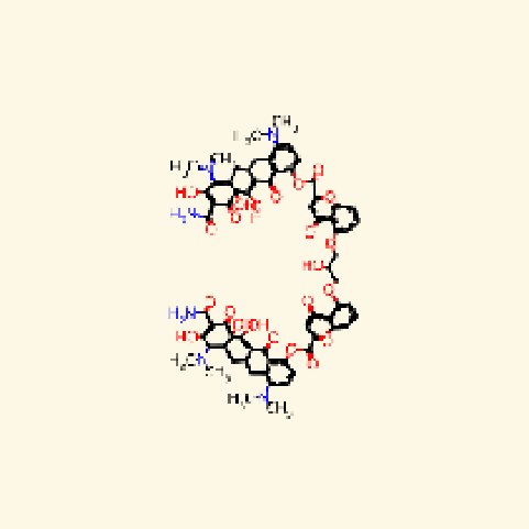 CN(C)c1ccc(OC(=O)c2cc(=O)c3c(OCC(O)COc4cccc5oc(C(=O)Oc6ccc(N(C)C)c7c6C(=O)C6=C(O)C8(O)C(=O)C(C(N)=O)=C(O)C(N(C)C)C8CC6C7)cc(=O)c45)cccc3o2)c2c1CC1CC3C(N(C)C)C(O)=C(C(N)=O)C(=O)C3(O)C(O)=C1C2=O